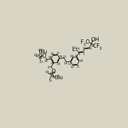 CC/C(=C\C=C\C(O)(C(F)(F)F)C(F)(F)F)c1cccc(CCc2ccc(CO[Si](C)(C)C(C)(C)C)c(CO[Si](C)(C)C(C)(C)C)c2)c1